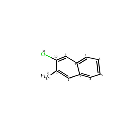 Cc1[c]c2ccccc2cc1Cl